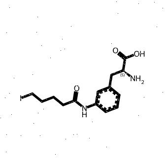 N[C@@H](Cc1cccc(NC(=O)CCCCI)c1)C(=O)O